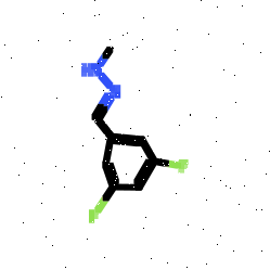 CN/N=C/c1cc(F)cc(F)c1